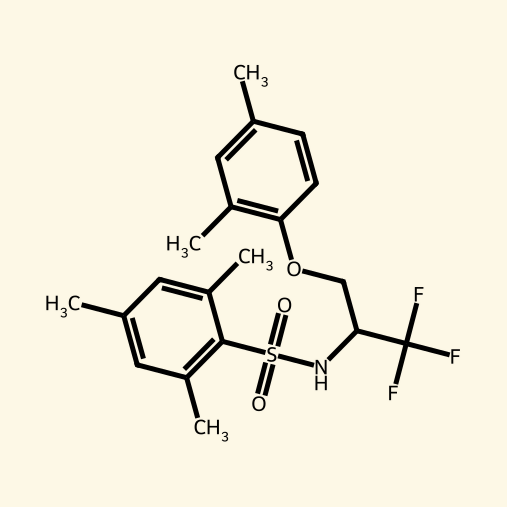 Cc1ccc(OCC(NS(=O)(=O)c2c(C)cc(C)cc2C)C(F)(F)F)c(C)c1